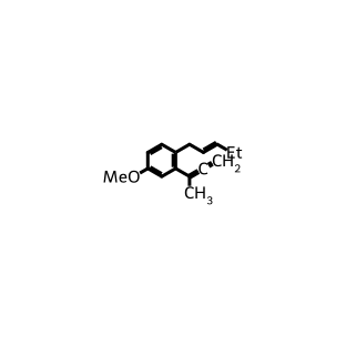 C=C=C(C)c1cc(OC)ccc1C/C=C/CC